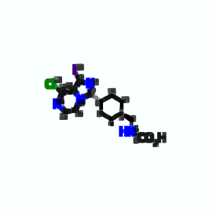 O=C(O)NC[C@H]1CC[C@H](c2nc(I)c3c(Cl)nccn32)CC1